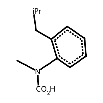 CC(C)Cc1ccccc1N(C)C(=O)O